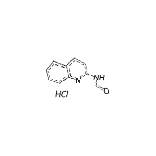 Cl.O=CNc1ccc2ccccc2n1